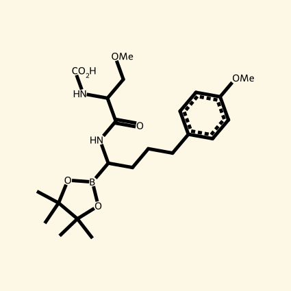 COCC(NC(=O)O)C(=O)NC(CCCc1ccc(OC)cc1)B1OC(C)(C)C(C)(C)O1